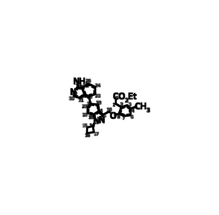 CCOC(=O)Cc1cc(C)ccc1OCc1nn(C2CCC2)c2ccc(-c3cccc4c(N)nccc34)cc12